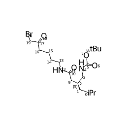 CC(C)C[C@H](CNC(=O)OC(C)(C)C)CC(=O)NCCCCC(=O)CBr